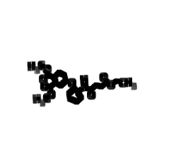 CCOC(=O)C=CC(=O)Nc1ccccc1Oc1ccc(C(=O)OC)c(C(=O)OC)c1